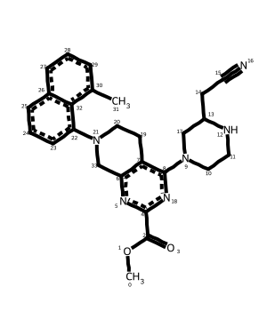 COC(=O)c1nc2c(c(N3CCNC(CC#N)C3)n1)CCN(c1cccc3cccc(C)c13)C2